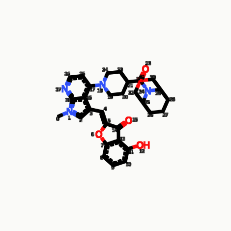 Cn1cc(/C=C2\Oc3cccc(O)c3C2=O)c2c(N3CCC(C(=O)N4C5CCCC4COC5)CC3)ccnc21